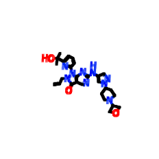 C=CCn1c(=O)c2cnc(Nc3cnn(C4CCN(C5COC5)CC4)c3)nc2n1-c1cccc(C(C)(C)O)n1